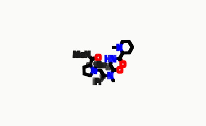 CNC(=O)[C@@H]1CCCN1C[C@H](C(C)C)N(C)C(=O)[C@@H](NC(=O)C1CCCCN1C)C(C)(C)C